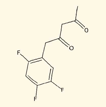 CC(=O)CC(=O)Cc1cc(F)c(F)cc1F